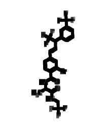 C[C@@H](NC(=O)c1ccc(/C=C/C(c2cccc(C(F)(F)F)c2)C(F)(F)F)cc1Br)C(=O)NCC(F)(F)F